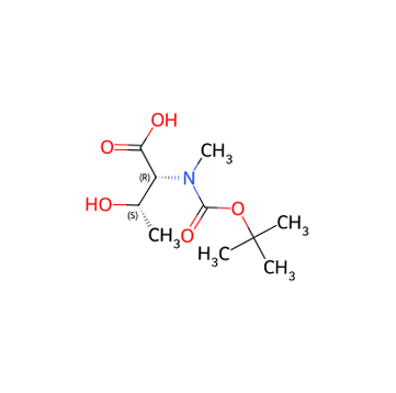 C[C@H](O)[C@H](C(=O)O)N(C)C(=O)OC(C)(C)C